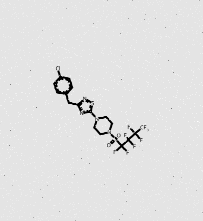 O=S(=O)(N1CCN(c2nc(Cc3ccc(Cl)cc3)ns2)CC1)C(F)(F)C(F)(F)C(F)(F)C(F)(F)F